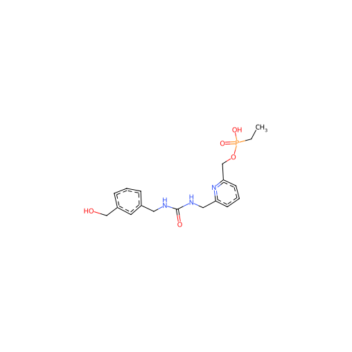 CCP(=O)(O)OCc1cccc(CNC(=O)NCc2cccc(CO)c2)n1